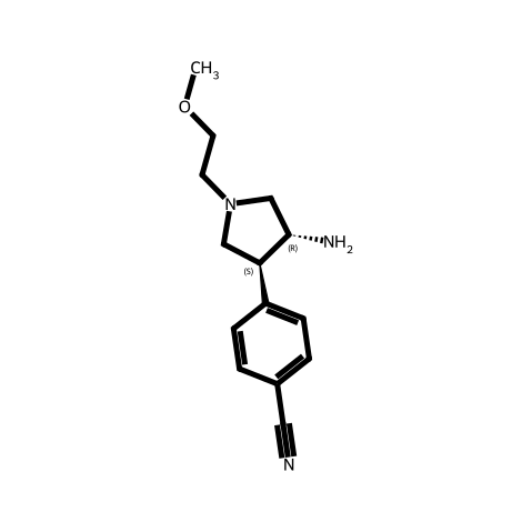 COCCN1C[C@H](c2ccc(C#N)cc2)[C@@H](N)C1